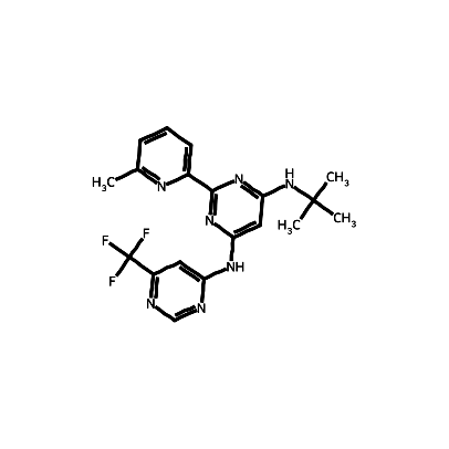 Cc1cccc(-c2nc(Nc3cc(C(F)(F)F)ncn3)cc(NC(C)(C)C)n2)n1